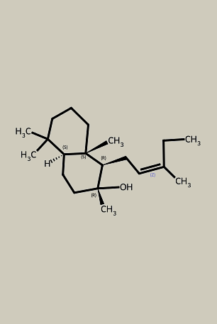 CC/C(C)=C\C[C@@H]1[C@@]2(C)CCCC(C)(C)[C@@H]2CC[C@@]1(C)O